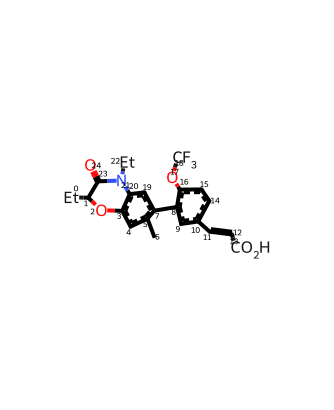 CCC1Oc2cc(C)c(-c3cc(/C=C/C(=O)O)ccc3OC(F)(F)F)cc2N(CC)C1=O